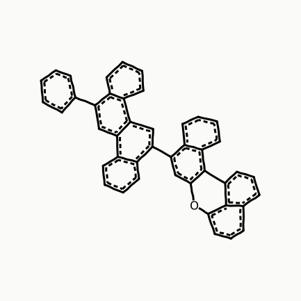 c1ccc(-c2cc3c4ccccc4c(-c4cc5c(c6ccccc46)-c4cccc6cccc(c46)O5)cc3c3ccccc23)cc1